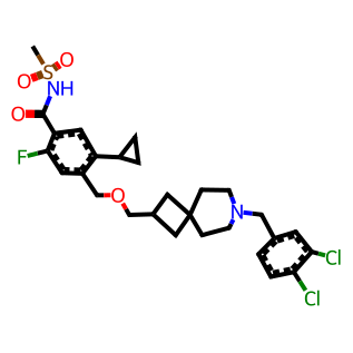 CS(=O)(=O)NC(=O)c1cc(C2CC2)c(COCC2CC3(CCN(Cc4ccc(Cl)c(Cl)c4)CC3)C2)cc1F